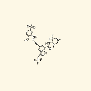 COc1ccc(S(C)(=O)=O)cc1NCC#Cc1cc(C(=O)N[C@H]2[C@H](C)CN(C)CC2(F)F)c2ncn(CC(F)(F)F)c2c1